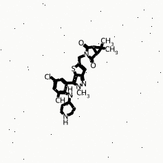 Cc1cc(Cl)cc(-c2c3sc(CN4C(=O)C5C(C4=O)C5(C)C)cc3nn2C)c1NC1CCNCC1